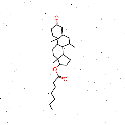 CCCCCCC(=O)OC1CCC2C3C(C)CC4=CC(=O)CCC4(C)C3CCC12C